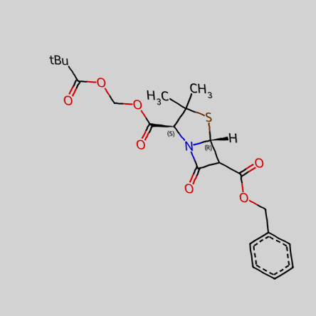 CC(C)(C)C(=O)OCOC(=O)[C@@H]1N2C(=O)C(C(=O)OCc3ccccc3)[C@H]2SC1(C)C